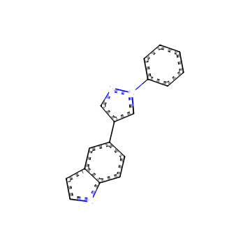 c1ccc(-n2cc(-c3ccc4[nH]ccc4c3)cn2)cc1